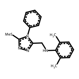 CSc1nnc(CNc2c(C)cccc2C)n1-c1ccccc1